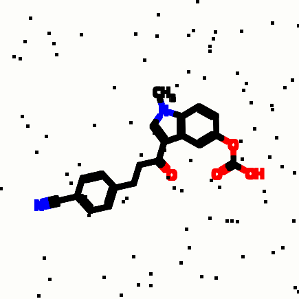 Cn1cc(C(=O)CCc2ccc(C#N)cc2)c2cc(OC(=O)O)ccc21